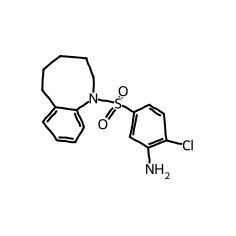 Nc1cc(S(=O)(=O)N2CCCCCc3ccccc32)ccc1Cl